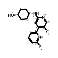 O[C@H]1CC[C@H](Nc2cc(-c3cccc(F)n3)c(Cl)cn2)CC1